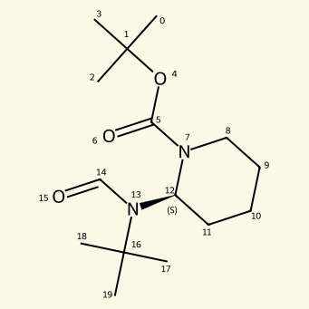 CC(C)(C)OC(=O)N1CCCC[C@H]1N(C=O)C(C)(C)C